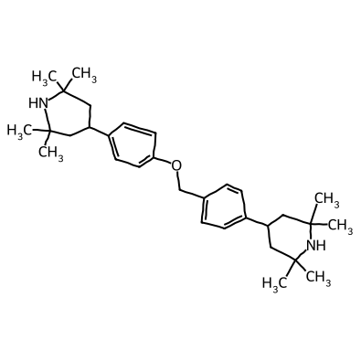 CC1(C)CC(c2ccc(COc3ccc(C4CC(C)(C)NC(C)(C)C4)cc3)cc2)CC(C)(C)N1